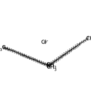 CCCCCCCCCCCCCCCCCCCCCCCCCCCCCCCCCCCCCCCCCC[N+](C)(C)CCCCCCCCCCCCCCCCCCCCCCCCCCCCCCCCCCCCCCCCCC.[Cl-]